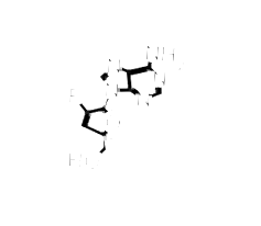 Nc1ncnc2c1ncn2[C@H]1O[C@@H](CO)C=C1F